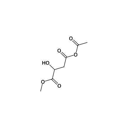 COC(=O)C(O)CC(=O)OC(C)=O